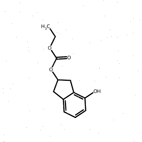 CCOC(=O)OC1Cc2cccc(O)c2C1